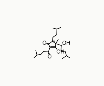 CC(C)CCC(=O)C1=C(O)C(C)(C(O)CCC(C)C)[C@H](CCC(C)C)C1=O